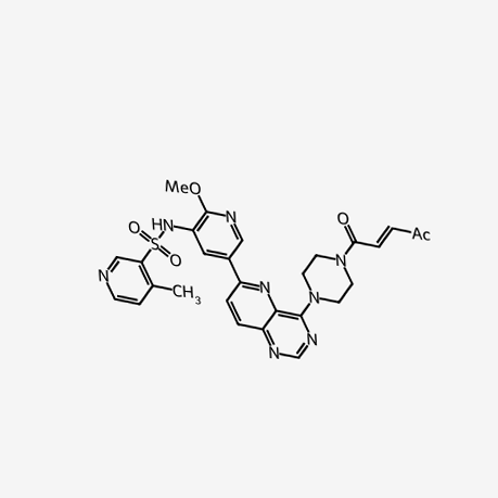 COc1ncc(-c2ccc3ncnc(N4CCN(C(=O)/C=C/C(C)=O)CC4)c3n2)cc1NS(=O)(=O)c1cnccc1C